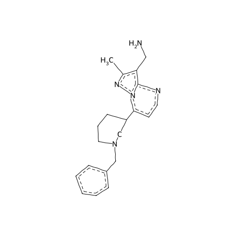 Cc1nn2c(C3CCCN(Cc4ccccc4)C3)ccnc2c1CN